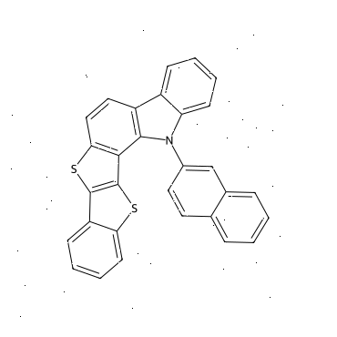 c1ccc2cc(-n3c4ccccc4c4ccc5sc6c7ccccc7sc6c5c43)ccc2c1